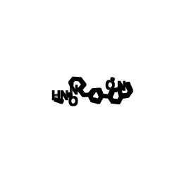 CCNC(=O)N1CCCCC1Cc1ccc(-c2ccc3cccnc3c2OC)cc1